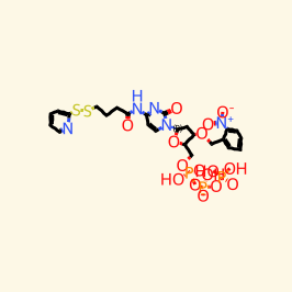 O=C(CCCSSc1ccccn1)Nc1ccn([C@H]2CC(OCc3ccccc3[N+](=O)[O-])C(COP(=O)(O)OP(=O)(O)OP(=O)(O)O)O2)c(=O)n1